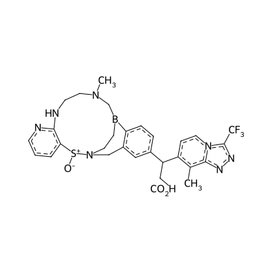 Cc1c(C(CC(=O)O)c2ccc3c(c2)CN2CCB3CN(C)CCNc3ncccc3[S+]2[O-])ccn2c(C(F)(F)F)nnc12